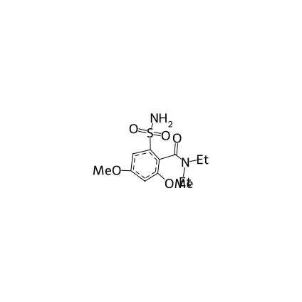 CCN(CC)C(=O)c1c(OC)cc(OC)cc1S(N)(=O)=O